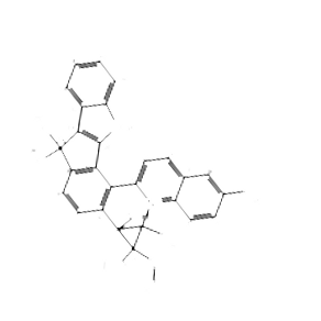 COC1(O)C2(C)c3ccc4c(c3-c3ccc5cc(C)ccc5[n+]3C12C)-c1oc2ccccc2c1C4(C)C